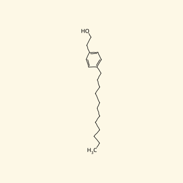 CCCCCCCCCCCCc1ccc(CCO)cc1